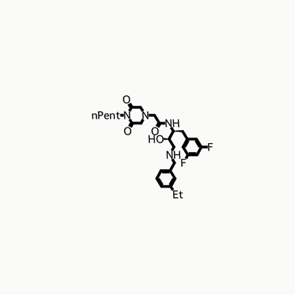 CCCCCN1C(=O)CN(CC(=O)N[C@@H](Cc2cc(F)cc(F)c2)[C@H](O)CNCc2cccc(CC)c2)CC1=O